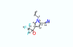 C=CCn1cc(C(=O)C(F)(F)F)cc1C#N